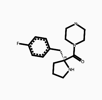 O=C(N1CC[N]CC1)[C@]1(Cc2ccc(F)cc2)CCCN1